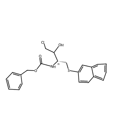 O=C(N[C@@H](CSc1ccc2ccccc2c1)C(O)CCl)OCc1ccccc1